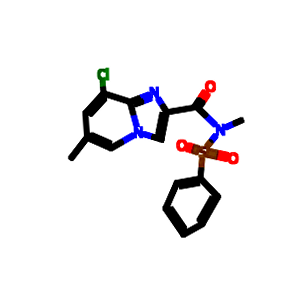 Cc1cc(Cl)c2nc(C(=O)N(C)S(=O)(=O)c3ccccc3)cn2c1